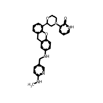 CNc1ccc(CNc2ccc3c(c2)Cc2cccc(C4CN(c5ccc[nH]c5=O)CCO4)c2O3)cn1